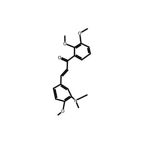 COc1ccc(C=CC(=O)c2cccc(OC)c2OC)cc1N(C)C